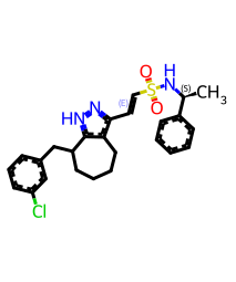 C[C@H](NS(=O)(=O)/C=C/c1n[nH]c2c1CCCCC2Cc1cccc(Cl)c1)c1ccccc1